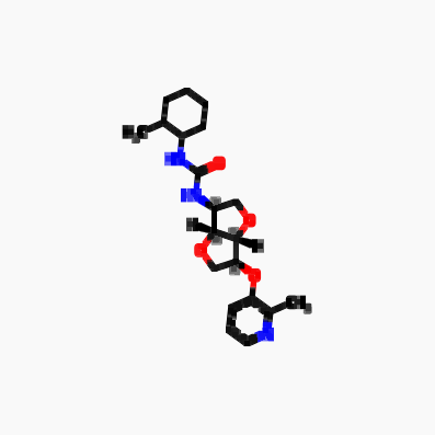 Cc1ncccc1O[C@H]1CO[C@H]2[C@@H]1OC[C@@H]2NC(=O)NC1CCCCC1C